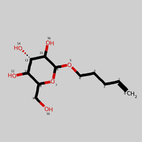 C=CCCCOC1OC(CO)C(O)[C@H](O)C1O